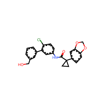 O=C(Nc1ccc(Cl)c(-c2cccc(CO)c2)c1)C1(c2ccc3c(c2)OCO3)CC1